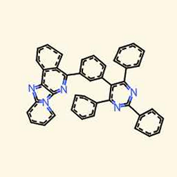 c1ccc(-c2nc(-c3ccccc3)c(-c3cccc(-c4nc5c(nc6ccccn65)c5ccccc45)c3)c(-c3ccccc3)n2)cc1